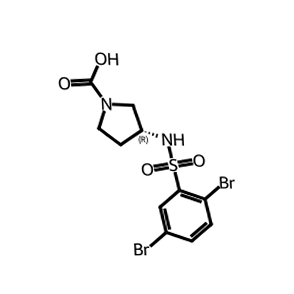 O=C(O)N1CC[C@@H](NS(=O)(=O)c2cc(Br)ccc2Br)C1